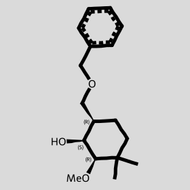 CO[C@H]1[C@@H](O)[C@@H](COCc2ccccc2)CCC1(C)C